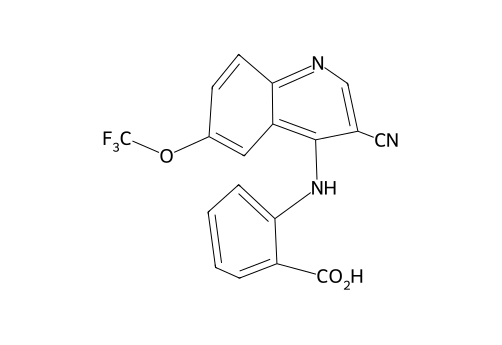 N#Cc1cnc2ccc(OC(F)(F)F)cc2c1Nc1ccccc1C(=O)O